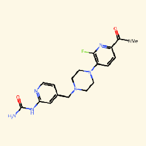 CNC(=O)c1ccc(N2CCN(Cc3ccnc(NC(N)=O)c3)CC2)c(F)n1